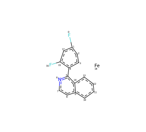 Fc1ccc(-c2nccc3ccccc23)c(F)c1.[Fe]